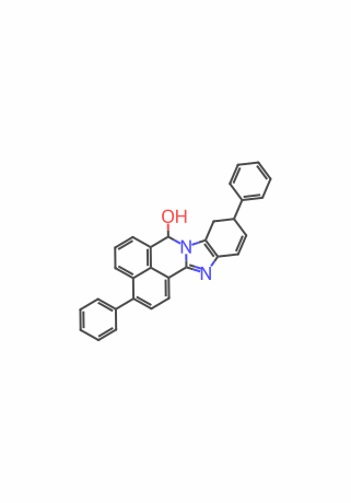 OC1c2cccc3c(-c4ccccc4)ccc(c23)-c2nc3c(n21)CC(c1ccccc1)C=C3